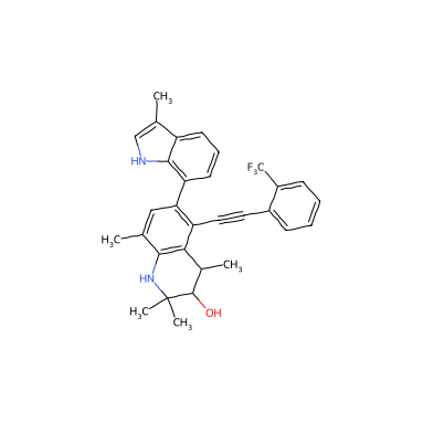 Cc1cc(-c2cccc3c(C)c[nH]c23)c(C#Cc2ccccc2C(F)(F)F)c2c1NC(C)(C)C(O)C2C